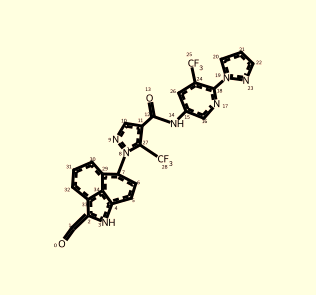 O=C=c1[nH]c2ccc(-n3ncc(C(=O)Nc4cnc(-n5cccn5)c(C(F)(F)F)c4)c3C(F)(F)F)c3cccc1c23